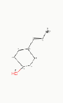 CCC/C=C/C1CCC(O)CC1